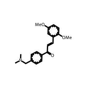 COc1ccc(OC)c(C=CC(=O)c2ccc(CN(C)C)cc2)c1